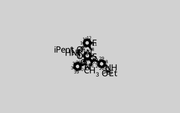 CCCC(C)NC(=O)Oc1cn(Cc2c(F)cccc2F)c2sc(-c3ccc(NC(=O)CC)cc3)c(CN(C)Cc3ccccc3)c2c1=O